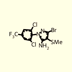 CSc1c(Br)nn(-c2c(Cl)cc(C(F)(F)F)cc2Cl)c1N